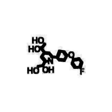 OCC(O)c1cc([C@@H](O)CO)cc(-c2ccc(Oc3ccc(F)cc3)cc2)n1